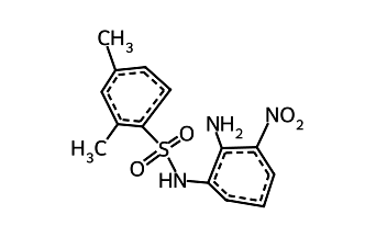 Cc1ccc(S(=O)(=O)Nc2cccc([N+](=O)[O-])c2N)c(C)c1